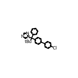 CC(C)(C)C(c1ccccc1)(c1ccc(-c2ccc(Cl)cc2)cc1)n1cncn1